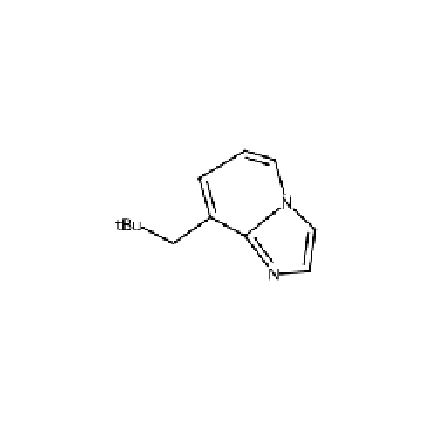 CC(C)(C)Cc1cccn2ccnc12